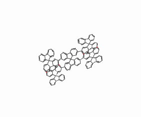 c1ccc2c(c1)-c1ccccc1C21c2ccccc2-c2ccc(-c3ccc4c(c3)C3(c5cc(-c6ccc7c(c6)C6(c8ccccc8-c8ccccc86)c6ccccc6-7)ccc5-4)c4cc(-c5ccc6c(c5)C5(c7ccccc7-c7ccccc75)c5ccccc5-6)ccc4-c4ccc(-c5ccc6c(c5)C5(c7ccccc7-c7ccccc75)c5ccccc5-6)cc43)cc21